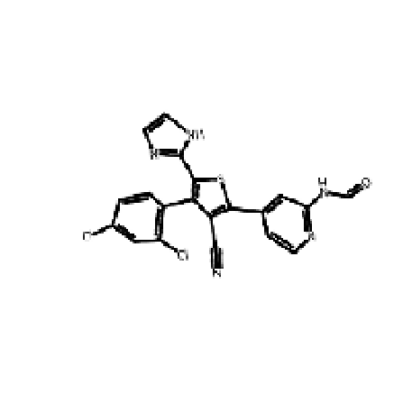 N#Cc1c(-c2ccnc(NC=O)c2)sc(-c2ncc[nH]2)c1-c1ccc(Cl)cc1Cl